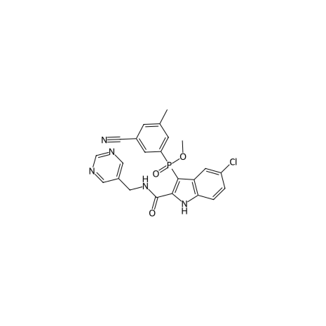 COP(=O)(c1cc(C)cc(C#N)c1)c1c(C(=O)NCc2cncnc2)[nH]c2ccc(Cl)cc12